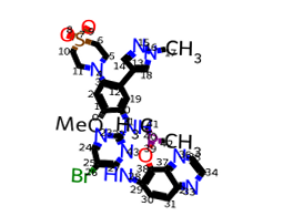 COc1cc(N2CCS(=O)(=O)CC2)c(-c2cnn(C)c2)cc1Nc1ncc(Br)c(Nc2ccc3nccnc3c2OP(C)C)n1